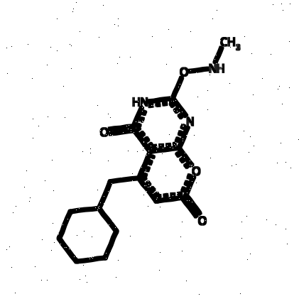 CNOc1nc2oc(=O)cc(CC3CCCCC3)c2c(=O)[nH]1